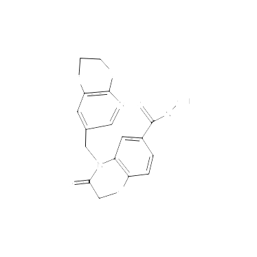 O=C(NO)c1ccc2c(c1)N(Cc1cnc3c(c1)OCCO3)C(=O)CO2